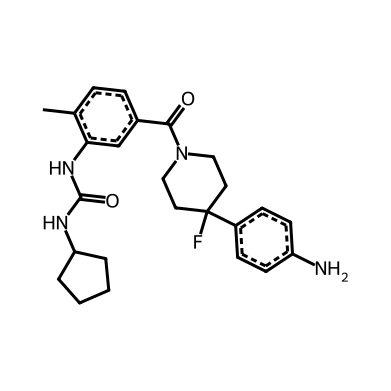 Cc1ccc(C(=O)N2CCC(F)(c3ccc(N)cc3)CC2)cc1NC(=O)NC1CCCC1